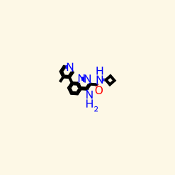 Cc1ccncc1-c1cccc2c(N)c(C(=O)NC3CCC3)nnc12